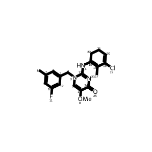 COc1cn(Cc2cc(C)cc(F)c2)c(NC2=C(C)C(Cl)=CCC2)nc1=O